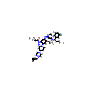 C=CC(=O)Nc1cc(Nc2cc(N[C@H](CCO)C3=CC(F)=CC(F)C3)ncn2)c(OC)cc1N1CCC(N2CCN(CC3CC3)CC2)CC1